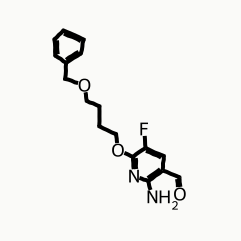 Nc1nc(OCCCCOCc2ccccc2)c(F)cc1C=O